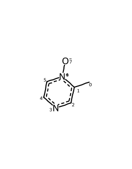 Cc1cncc[n+]1[O-]